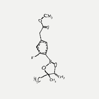 C=C1OB(c2ccc(CC(=O)OC)cc2F)OC1(C)C